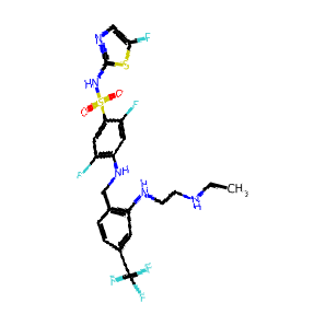 CCNCCNc1cc(C(F)(F)F)ccc1CNc1cc(F)c(S(=O)(=O)Nc2ncc(F)s2)cc1F